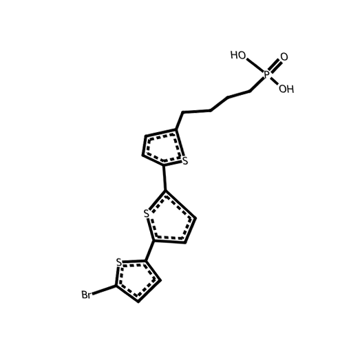 O=P(O)(O)CCCCc1ccc(-c2ccc(-c3ccc(Br)s3)s2)s1